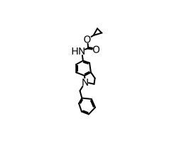 O=C(Nc1ccc2c(c1)CCN2Cc1ccccc1)OC1CC1